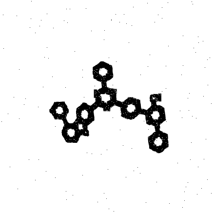 N#Cc1ccc(-c2ccccc2)cc1-c1ccc(-c2nc(-c3ccccc3)nc(-c3ccc4c(c3)oc3cccc(-c5ccccc5)c34)n2)cc1